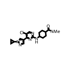 CNC(=O)C1CCC(Nc2ncc(Cl)c(-c3cnn(C4CC4)c3)n2)CC1